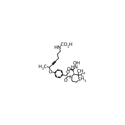 CC(C#CCCCNC(=O)O)Oc1ccc(S(=O)(=O)N2CCSC(C)(C)[C@@H]2C(=O)NO)cc1